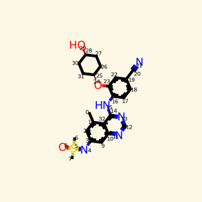 Cc1cc(N=S(C)(C)=O)cc2ncnc(Nc3ccc(C#N)cc3O[C@H]3CC[C@H](O)CC3)c12